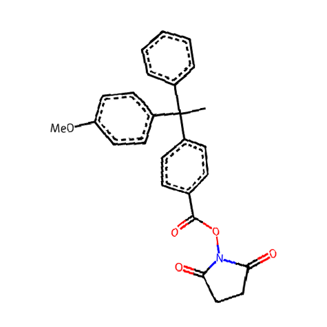 COc1ccc(C(C)(c2ccccc2)c2ccc(C(=O)ON3C(=O)CCC3=O)cc2)cc1